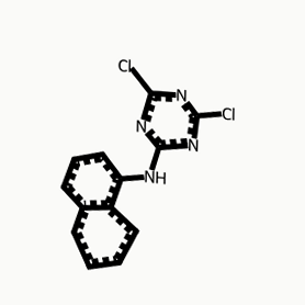 Clc1nc(Cl)nc(Nc2cccc3ccccc23)n1